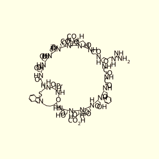 CC(C)C[C@@H]1NC(=O)[C@H](CO)NC(=O)[C@H](CO)NC(=O)[C@@H]2CSc3c4ccccc4cn3CCCC3C(OCN[C@H](C(C)C)C(=O)N2)[C@H]3NC(=O)[C@H](CO)NC(=O)[C@H](CCC(=O)O)NC(=O)[C@H](CO)NC(=O)[C@H](CO)NC(=O)[C@H](Cc2ccccc2)NC(=O)CNC(=O)CNC(=O)[C@H](CCCNC(=N)N)NC(=O)CNC(=O)[C@@H]2CCCN2C(=O)[C@H](CCC(=O)O)NC(=O)[C@H](CC(=O)O)NC1=O